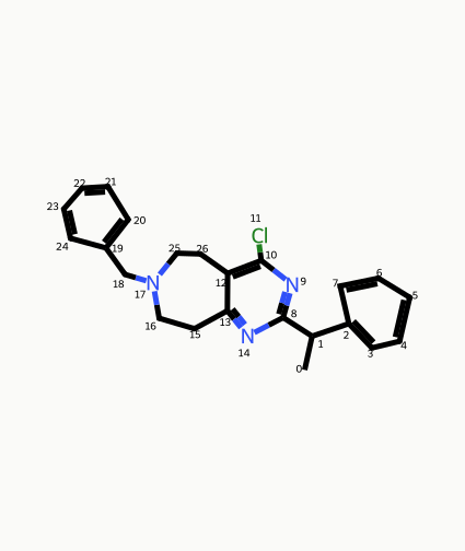 CC(c1ccccc1)c1nc(Cl)c2c(n1)CCN(Cc1ccccc1)CC2